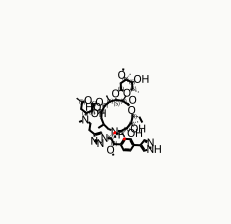 CC[C@H]1OC(=O)[C@H](C)[C@@H](O[C@H]2C[C@@](C)(OC)[C@@H](O)[C@H](C)O2)[C@H](C)[C@@H](O[C@@H]2O[C@H](C)C[C@H](N(C)CCc3cn([C@H](CF)[C@H](OC)c4ccc(-c5cn[nH]c5)cc4)nn3)[C@H]2O)[C@](C)(O)CC(C)CN(C)[C@H](C)[C@@H](O)[C@]1(C)O